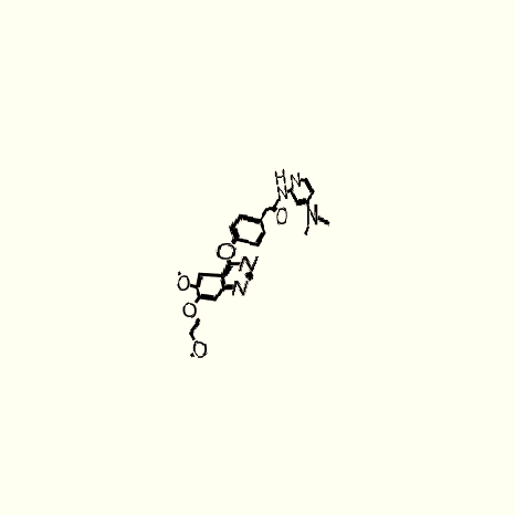 COCCOc1cc2ncnc(Oc3ccc(CC(=O)Nc4cc(N(C)C)ccn4)cc3)c2cc1OC